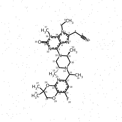 CCn1c(CC#N)nc2c(N3C[C@@H](C)N(C(C)c4cc(F)c5c(n4)OC(C)(C)CO5)C[C@@H]3C)nc(=O)n(C)c21